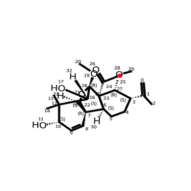 C=C(C)[C@@H]1CC[C@H]2[C@]34C=C[C@H](O)C(C)(C)[C@H]3[C@H](O)[C@](OC)(OC4)[C@@]2(C(C)=O)[C@@H]1OC